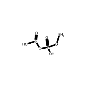 BOP(=O)(O)O[Si](=O)O